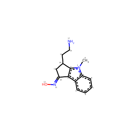 Cn1c2c(c3ccccc31)C(=NO)CC2CCN